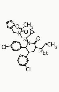 C=C[C@H](CC)C1CC(c2cccc(Cl)c2)C(c2ccc(Cl)cc2)N([C@H](CN(Cc2cccs2)S(C)(=O)=O)C2CC2)C1=O